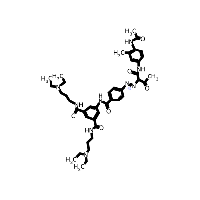 CCN(CC)CCCNC(=O)c1cc(NC(=O)c2ccc(/N=N/C(C(C)=O)C(=O)Nc3ccc(NC(C)=O)c(C)c3)cc2)cc(C(=O)NCCCN(CC)CC)c1